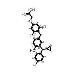 O=C(O)COc1cc(Cl)c(Cc2ccc(O)c(C(c3ccc(F)cc3)C3CC3)c2)c(Cl)c1